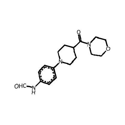 O=CNc1ccc(N2CCC(C(=O)N3CCOCC3)CC2)cc1